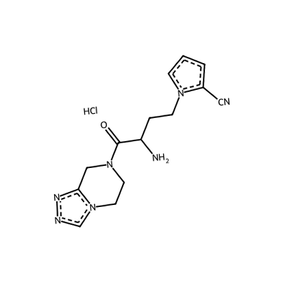 Cl.N#Cc1cccn1CCC(N)C(=O)N1CCn2cnnc2C1